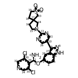 N[C@@H](Oc1ccc2[nH]nc(-c3cnc(N4CCC5(CCS(=O)(=O)C5)C4)nc3)c2c1)c1c(Cl)cncc1Cl